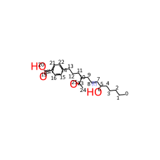 CCCCCC(O)/C=C/CC(CCCc1ccc(C(=O)O)cc1)C(C)=O